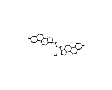 CCC(=O)O[C@@]1(C(=O)CC(=O)[C@@]2(OC(C)=O)[C@H](C)C[C@H]3C4C[C@H](F)C5=CC(=O)C=C[C@]5(C)[C@@]4(F)[C@@H](O)C[C@@]32C)[C@@H](C)C[C@@H]2C3C[C@@H](F)C4=CC(=O)C=C[C@@]4(C)[C@]3(F)[C@H](O)C[C@]21C